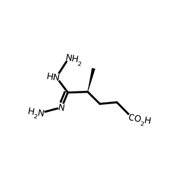 C[C@@H](CCC(=O)O)/C(=N/N)NN